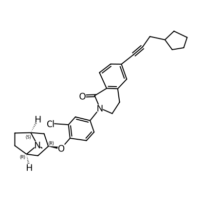 CN1[C@@H]2CC[C@H]1C[C@@H](Oc1ccc(N3CCc4cc(C#CCC5CCCC5)ccc4C3=O)cc1Cl)C2